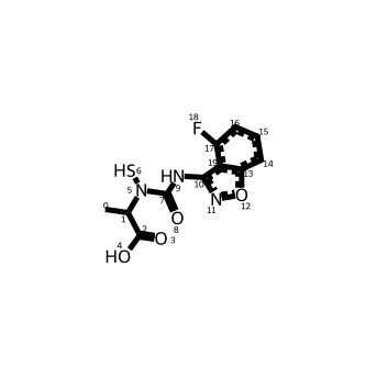 CC(C(=O)O)N(S)C(=O)Nc1noc2cccc(F)c12